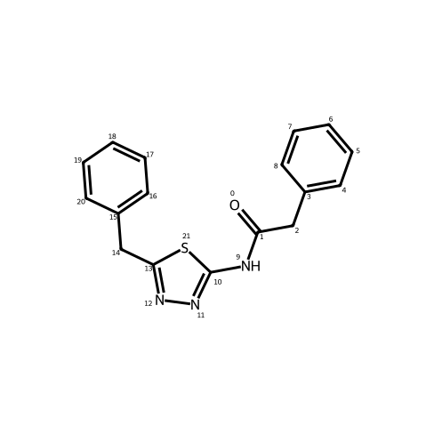 O=C(Cc1ccccc1)Nc1nnc(Cc2ccccc2)s1